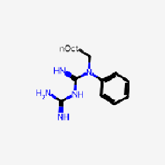 CCCCCCCCCN(C(=N)NC(=N)N)c1ccccc1